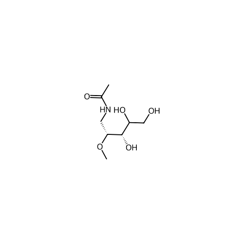 CO[C@H](CNC(C)=O)[C@@H](O)C(O)CO